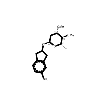 CO[C@H]1[C@H](C)O[C@@H](OC2Cc3ccc(N)cc3C2)C[C@@H]1OC